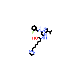 CC(C)c1cnn2c(NCc3ccccc3F)cc(NC(CO)CCCCCCc3ncccn3)nc12